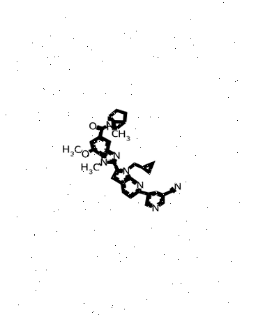 COc1cc(C(=O)N2CC3CCC2[C@@H]3C)cc2nc(-c3cc4ccc(-c5cncc(C#N)c5)nc4n3CC3CC3)n(C)c12